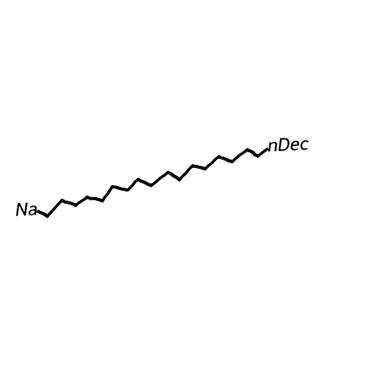 CCCCCCCCCCCCCCCCCCCCCCCCCC[CH2][Na]